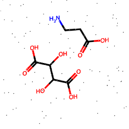 NCCC(=O)O.O=C(O)C(O)C(O)C(=O)O